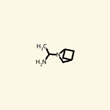 CC(N)N1CC2CC1C2